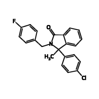 CC1(c2ccc(Cl)cc2)c2ccccc2C(=O)N1Cc1ccc(F)cc1